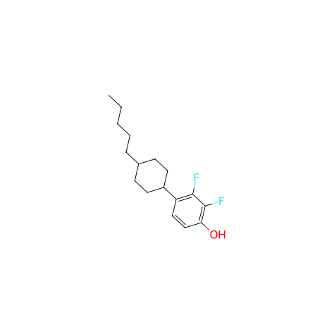 CCCCCC1CCC(c2ccc(O)c(F)c2F)CC1